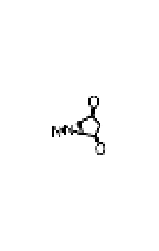 [N-]=[N+]1C2C(=O)CC(=O)C21